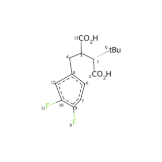 CC(C)(C)[C@H](C(=O)O)C(Cc1ccc(F)c(F)c1)C(=O)O